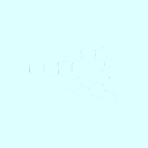 Cn1cc(-c2cnc(C=N)c(NS(=O)(=O)c3cnc4ccc(-c5ccc(CN6CCOCC6)cc5)cn34)c2)cn1